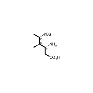 CCCC[C@@H](C)[C@H](C)[C@H](N)CC(=O)O